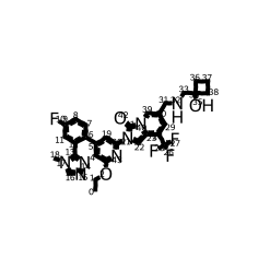 CCOc1cc(-c2ccc(F)cc2-c2nncn2C)cc(-n2cc3c(C(F)(F)F)cc(CNCC4(O)CCC4)cn3c2=O)n1